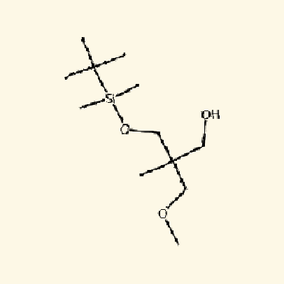 COCC(C)(CO)CO[Si](C)(C)C(C)(C)C